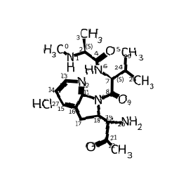 CN[C@@H](C)C(=O)N[C@H](C(=O)N1c2ncccc2CC1C(N)C(C)=O)C(C)C.Cl